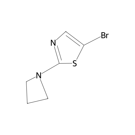 Brc1cnc(N2CCC2)s1